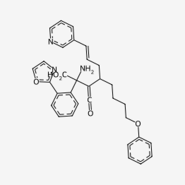 NC(C(=O)O)(C(=C=O)C(CC=Cc1cccnc1)CCCCOc1ccccc1)c1ccccc1-c1ncco1